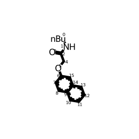 CCCCNC(=O)COc1ccc2ccccc2c1